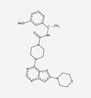 COc1cccc([C@H](C)NC(=O)N2CCN(c3ncnc4cc(N5CCOCC5)sc34)CC2)c1